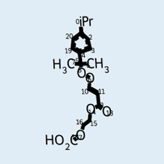 CC(C)c1ccc(C(C)(C)OOC=CC(=O)OCCOC(=O)O)cc1